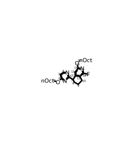 CCCCCCCCOc1ccnc(C2CCCc3c2cc(OCCCCCCCC)nc3F)n1